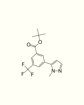 Cn1nccc1-c1cc(C(=O)OC(C)(C)C)cc(C(F)(F)F)c1